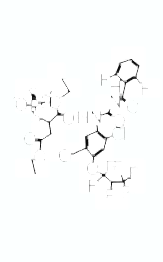 CCOC(=O)CC(SP(=S)(OC)OC)C(=O)OCC.O=C(NC(=O)c1c(F)cccc1F)Nc1cc(Cl)c(OC(F)(F)C(F)C(F)(F)F)cc1Cl